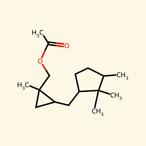 CC(=O)OCC1(C)CC1CC1CCC(C)C1(C)C